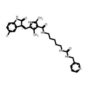 Cc1[nH]c(/C=C2\C(=O)Nc3ccc(F)cc32)c(C)c1C(=O)NCCCCCNC(=O)NCc1cccnc1